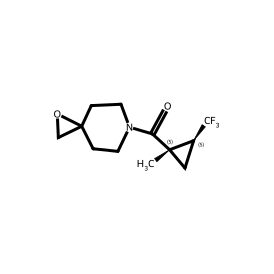 C[C@]1(C(=O)N2CCC3(CC2)CO3)C[C@@H]1C(F)(F)F